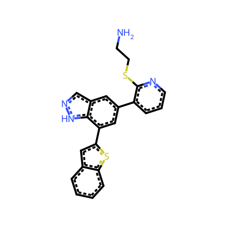 NCCSc1ncccc1-c1cc(-c2cc3ccccc3s2)c2[nH]ncc2c1